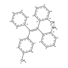 Cc1ccc(/C(=C(\c2ccccc2N)c2ccccc2C#N)c2ccccc2)cc1